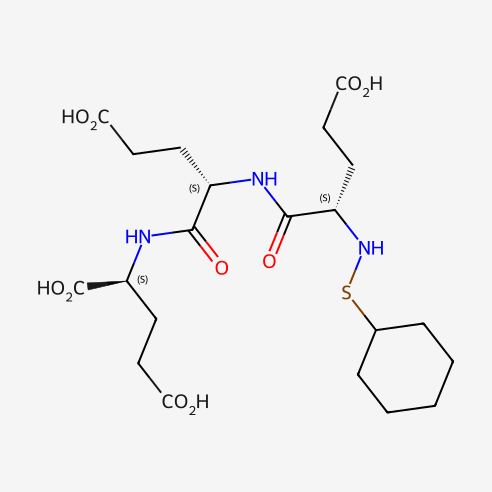 O=C(O)CC[C@H](NC(=O)[C@H](CCC(=O)O)NC(=O)[C@H](CCC(=O)O)NSC1CCCCC1)C(=O)O